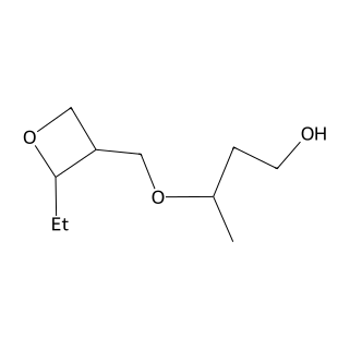 CCC1OCC1COC(C)CCO